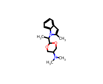 Cc1cc2ccccc2n1C(C)C1OCC(N(C)C)CO1